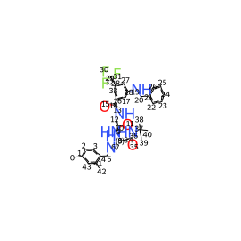 Cc1ccc(CNC[C@H](NC(=O)CNC(=O)c2cc(NCc3ccccc3)cc(C(F)(F)F)c2)C(=O)NC(C)(C)C)c(C)c1